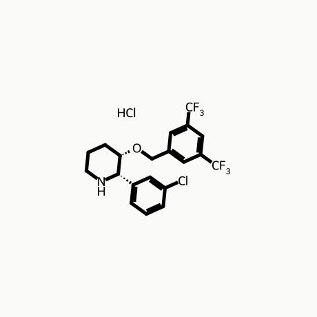 Cl.FC(F)(F)c1cc(CO[C@H]2CCCN[C@H]2c2cccc(Cl)c2)cc(C(F)(F)F)c1